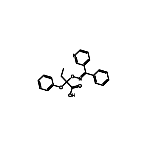 CCC(ON=C(c1ccccc1)c1cccnc1)(Oc1ccccc1)C(=O)O